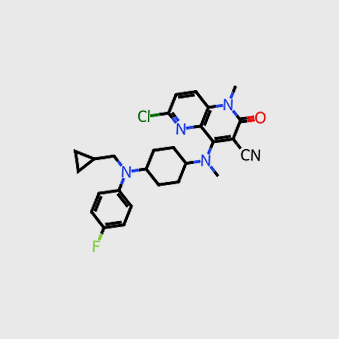 CN(c1c(C#N)c(=O)n(C)c2ccc(Cl)nc12)C1CCC(N(CC2CC2)c2ccc(F)cc2)CC1